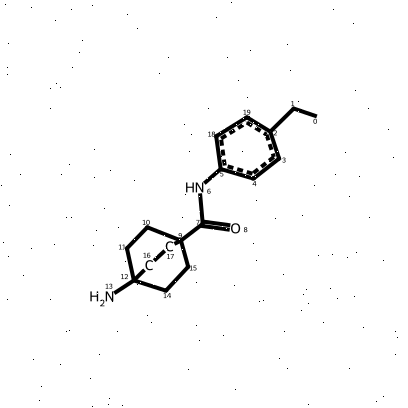 CCc1ccc(NC(=O)C23CCC(N)(CC2)CC3)cc1